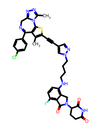 Cc1c(C#Cc2cnn(CCCCNc3ccc(F)c4c3CN(C3CCC(=O)NC3=O)C4=O)c2)sc2c1C(c1ccc(Cl)cc1)=NCc1nnc(C)n1-2